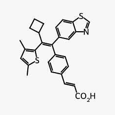 Cc1cc(C)c(/C(=C(\c2ccc(/C=C/C(=O)O)cc2)c2ccc3scnc3c2)C2CCC2)s1